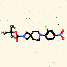 CC(C)(C)OC(=O)N1CC2(CCN(c3ccc([N+](=O)[O-])cc3F)CC2)C1